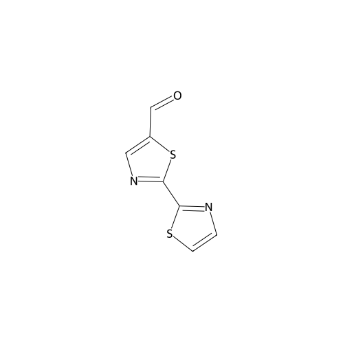 O=Cc1cnc(-c2nccs2)s1